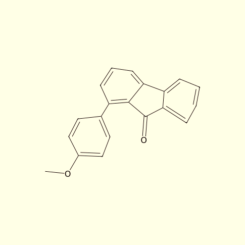 COc1ccc(-c2cccc3c2C(=O)c2ccccc2-3)cc1